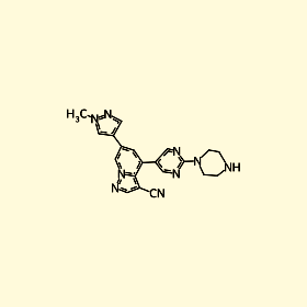 Cn1cc(-c2cc(-c3cnc(N4CCNCC4)nc3)c3c(C#N)cnn3c2)cn1